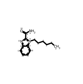 CCCCCCn1c(C(N)=O)nc2ccccc21